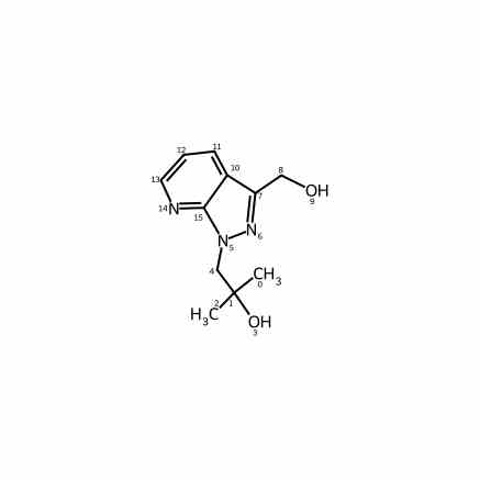 CC(C)(O)Cn1nc(CO)c2cccnc21